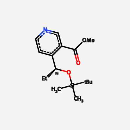 CC[C@H](O[Si](C)(C)C(C)(C)C)c1ccncc1C(=O)OC